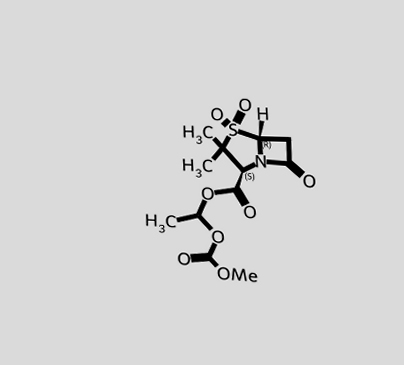 COC(=O)OC(C)OC(=O)[C@@H]1N2C(=O)C[C@H]2S(=O)(=O)C1(C)C